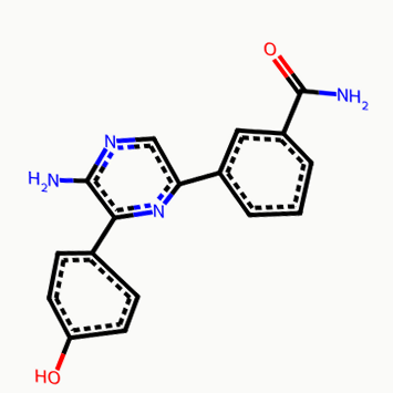 NC(=O)c1cccc(-c2cnc(N)c(-c3ccc(O)cc3)n2)c1